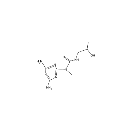 CC(O)CNC(=O)N(C)c1nc(N)nc(N)n1